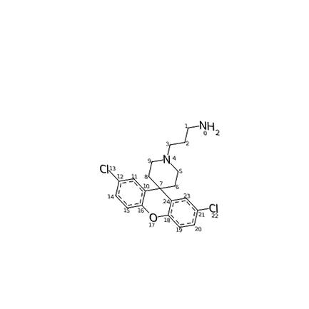 NCCCN1CCC2(CC1)c1cc(Cl)ccc1Oc1ccc(Cl)cc12